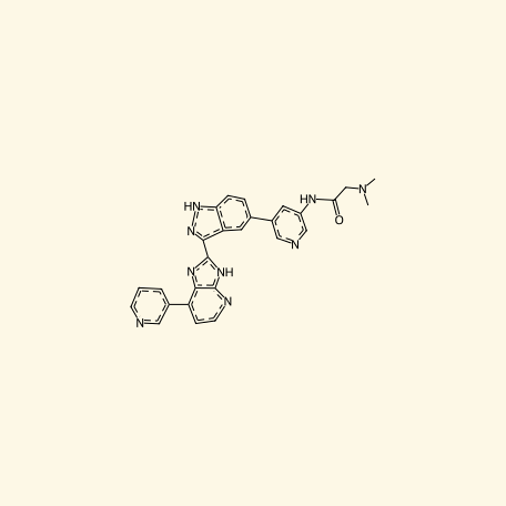 CN(C)CC(=O)Nc1cncc(-c2ccc3[nH]nc(-c4nc5c(-c6cccnc6)ccnc5[nH]4)c3c2)c1